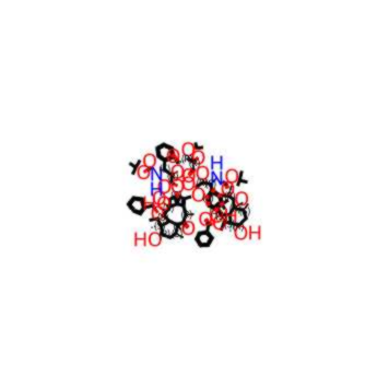 CC[C@@]1(C)C2[C@H](OC(=O)c3ccccc3)[C@]3(O)C[C@H](OC(=O)[C@H](OC(=O)[C@@H]4OC(C)(C)O[C@H]4C(=O)O[C@@H](C(=O)O[C@H]4C[C@@]5(O)[C@@H](OC(=O)c6ccccc6)C6[C@](C)(CC)[C@H](O)C[C@H](C)[C@@]6(C)C(=O)[C@H](C)C(=C4C)C5(C)C)[C@@H](NC(=O)OC(C)(C)C)c4ccccc4)[C@@H](NC(=O)OC(C)(C)C)c4ccccc4)C(C)=C([C@@H](C)C(=O)[C@]2(C)[C@@H](C)C[C@H]1O)C3(C)C